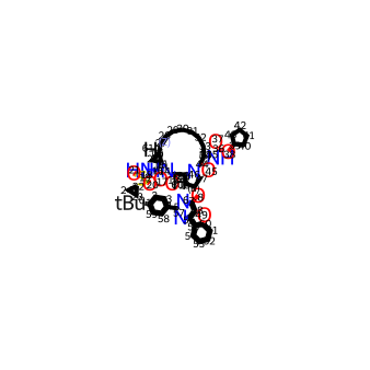 CC(C)(C)c1ccc(-c2nc(O[C@@H]3C[C@H]4C(=O)N[C@]5(C(=O)NS(=O)(=O)C6CC6)C[C@H]5/C=C\CCCCC[C@H](NC(=O)OC5CCCC5)C(=O)N4C3)c3oc4ccccc4c3n2)cc1